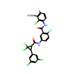 CC(=O)Nc1c(F)ccc(NC(=O)c2cc(NC(=O)C3C(c4cc(Cl)cc(Cl)c4)C3(Cl)Cl)ccc2Cl)c1Cl